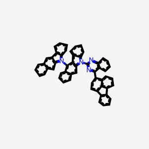 c1ccc2c(c1)-c1cccc3c(-c4nc(-n5c6ccccc6c6c(-n7c8ccccc8c8cc9ccccc9cc87)c7ccccc7cc65)nc5ccccc45)ccc-2c13